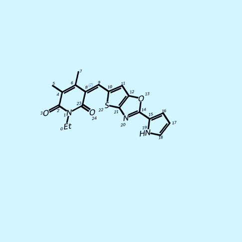 CCN1C(=O)C(C)=C(C)/C(=C/c2cc3oc(-c4ccc[nH]4)nc3s2)C1=O